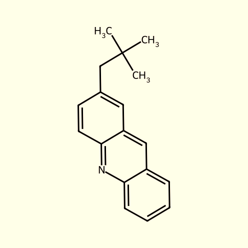 CC(C)(C)Cc1ccc2nc3ccccc3cc2c1